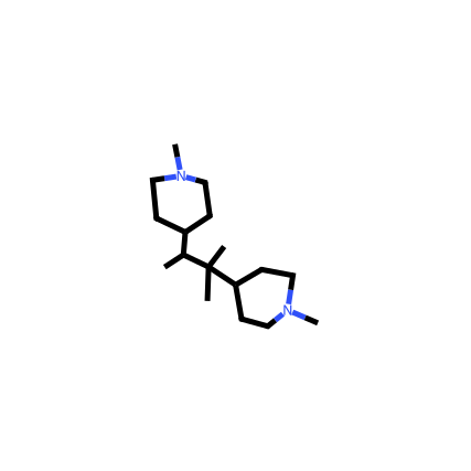 CC(C1CCN(C)CC1)C(C)(C)C1CCN(C)CC1